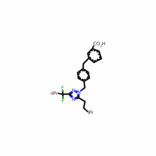 CCCC(F)(F)c1nc(CCC(C)C)n(Cc2ccc(Cc3cccc(C(=O)O)c3)cc2)n1